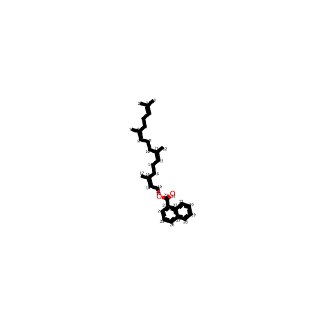 CC(C)=CCCC(C)=CCCC(C)=CCCC(C)=CCOC(=O)c1cccc2ccccc12